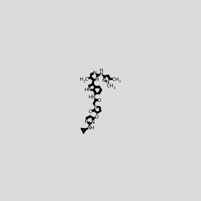 Cc1cnc(Nc2cc(C)n(C)n2)nc1-c1c[nH]c2c(NC(=O)CN3CC[C@H](Oc4ccnc(NC5CC5)n4)C3=O)cccc12